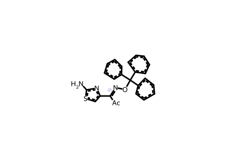 CC(=O)/C(=N\OC(c1ccccc1)(c1ccccc1)c1ccccc1)c1csc(N)n1